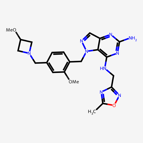 COc1cc(CN2CC(OC)C2)ccc1Cn1ncc2nc(N)nc(NCc3noc(C)n3)c21